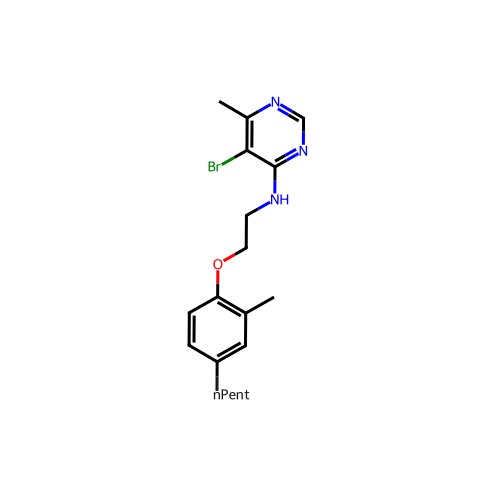 CCCCCc1ccc(OCCNc2ncnc(C)c2Br)c(C)c1